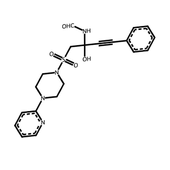 O=CNC(O)(C#Cc1ccccc1)CS(=O)(=O)N1CCN(c2ccccn2)CC1